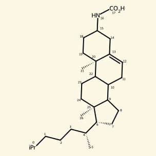 CC(C)CCC[C@@H](C)[C@H]1CCC2C3CC=C4CC(NC(=O)O)CC[C@]4(C)C3CC[C@@]21C